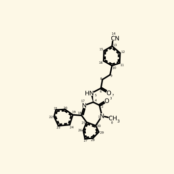 CN1C(=O)[C@H](NC(=O)CCc2ccc(C#N)cc2)N=C(c2ccccc2)c2ccccc21